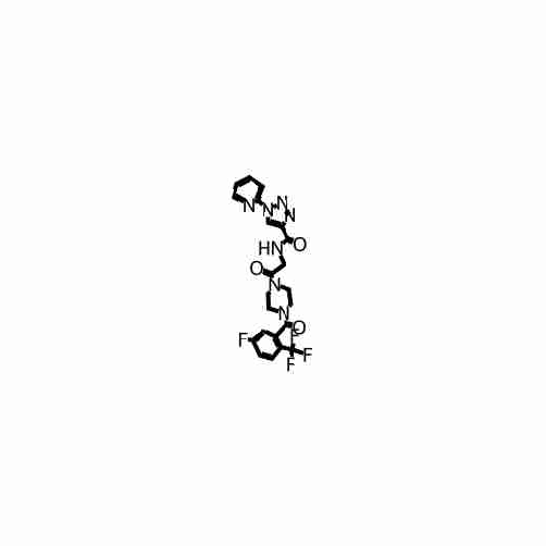 O=C(NCC(=O)N1CCN(C(=O)c2cc(F)ccc2C(F)(F)F)CC1)c1cn(-c2ccccn2)nn1